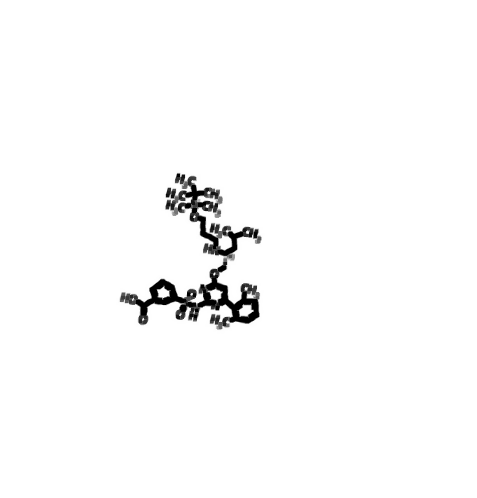 Cc1cccc(C)c1-c1cc(OC[C@@H](CC(C)C)NCCCO[Si](C)(C)C(C)(C)C)nc(NS(=O)(=O)c2cccc(C(=O)O)c2)n1